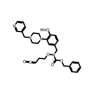 COc1ccc(CN(OCCC=C=O)C(=O)OCc2ccccc2)cc1N1CCN(Cc2cccnc2)CC1